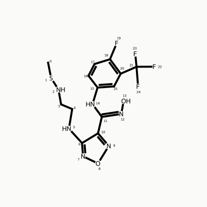 CSNCCNc1nonc1/C(=N/O)Nc1ccc(F)c(C(F)(F)F)c1